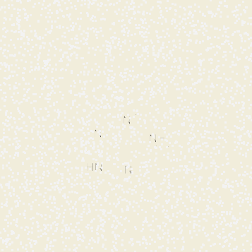 CC#Cc1nc(N)c2nc[nH]c2n1